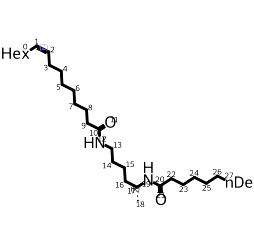 CCCCCC/C=C\CCCCCCCC(=O)NCCCC[C@@H](C)NC(=O)CCCCCCCCCCCCCCC